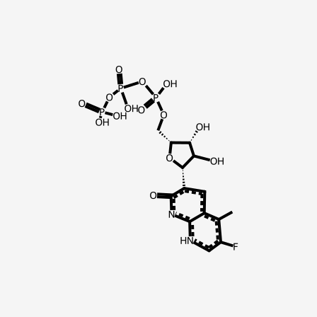 Cc1c(F)c[nH]c2nc(=O)c([C@@H]3O[C@H](COP(=O)(O)OP(=O)(O)OP(=O)(O)O)[C@H](O)C3O)cc1-2